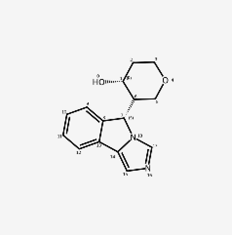 O[C@@H]1CCOCC1[C@H]1c2ccccc2-c2cncn21